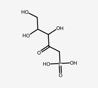 O=C(CP(=O)(O)O)C(O)C(O)CO